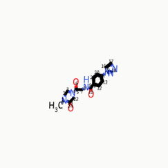 CN1CCN(C(=O)CNC(=O)c2ccc(-n3ccnn3)cc2)CC1=O